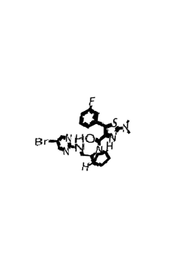 CN(C)c1nc(C(=O)N2[C@@H]3CC[C@@H](C3)[C@H]2CNc2ncc(Br)cn2)c(-c2cccc(F)c2)s1